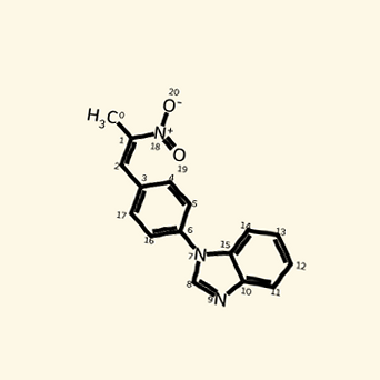 CC(=Cc1ccc(-n2cnc3ccccc32)cc1)[N+](=O)[O-]